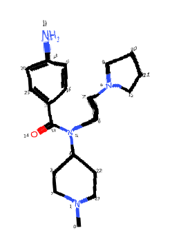 CN1CCC(N(CCN2CCCC2)C(=O)c2ccc(N)cc2)CC1